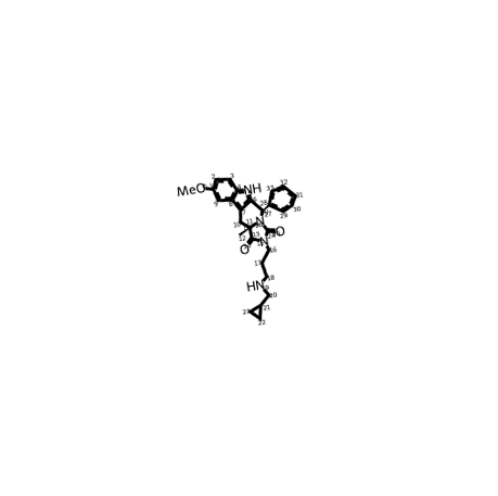 COc1ccc2[nH]c3c(c2c1)C[C@@]1(C)C(=O)N(CCCNCC2CC2)C(=O)N1[C@@H]3c1ccccc1